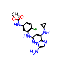 COC(=O)Nc1ccc(F)c(Nc2cc(NC3CC3)c3ncc(N)n3n2)c1